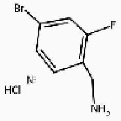 Cl.NCc1ccc(Br)cc1F.[N]